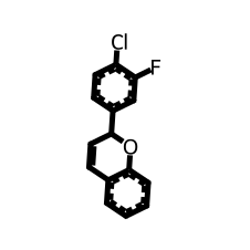 Fc1cc(C2C=Cc3ccccc3O2)ccc1Cl